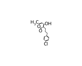 Cc1cc(O)c(CCCc2ccc(Cl)cc2)c(=O)o1